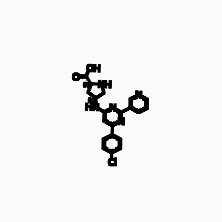 O=C(O)[C@H]1C[C@H](Nc2cc(-c3ccc(Cl)cc3)nc(-c3cccnc3)n2)CN1